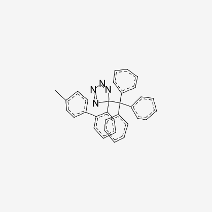 Cc1ccc(-c2ccccc2C2(C(c3ccccc3)(c3ccccc3)c3ccccc3)N=NN=N2)cc1